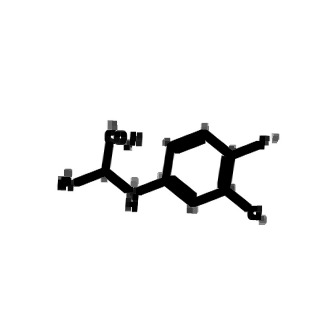 CC(C)C(Nc1ccc(F)c(Cl)c1)C(=O)O